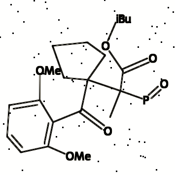 CCC(C)OC(=O)C(C)(P=O)C1(C(=O)c2c(OC)cccc2OC)CCCC1